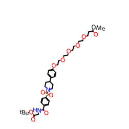 COC(=O)CCOCCOCCOCCOCCOc1ccc(C2CCN(S(=O)(=O)c3ccc(C(=O)NCC(=O)OC(C)(C)C)cc3)CC2)cc1